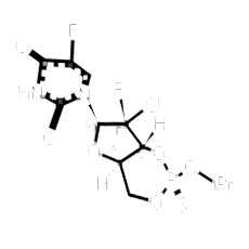 CC(C)OP1(=S)OC[C@H]2O[C@@H](n3cc(F)c(=O)[nH]c3=O)[C@](F)(Cl)[C@@H]2O1